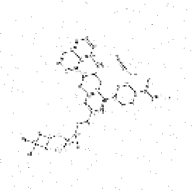 C=CC(=O)N1CCN(c2nc(OCC3S[C@]3(C)OC3CC(F)(F)C3)nc3c2CCN(c2cccc4cccc(C)c24)C3)C[C@@H]1CC#N